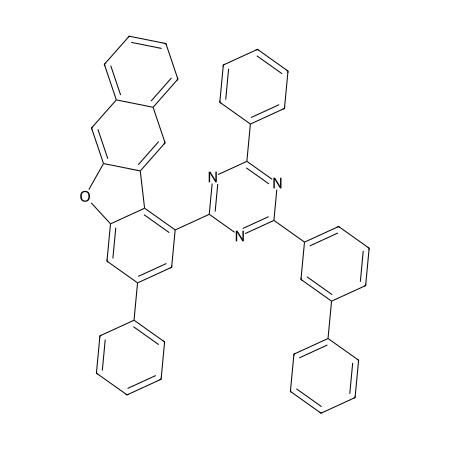 c1ccc(-c2cccc(-c3nc(-c4ccccc4)nc(-c4cc(-c5ccccc5)cc5oc6cc7ccccc7cc6c45)n3)c2)cc1